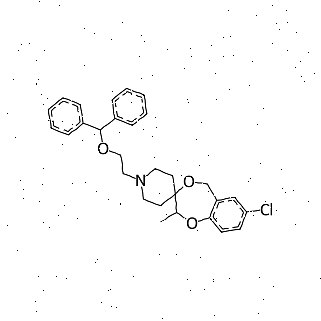 CC1Oc2ccc(Cl)cc2COC12CCN(CCOC(c1ccccc1)c1ccccc1)CC2